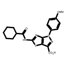 COc1ccc(-n2nc(C(=O)O)c3sc(NC(=O)C4CCCCC4)nc32)cc1